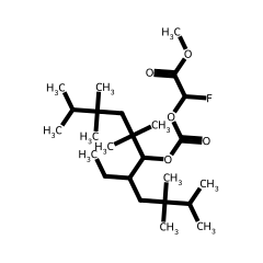 CCC(CC(C)(C)C(C)C)C(OC(=O)OC(F)C(=O)OC)C(C)(C)CC(C)(C)C(C)C